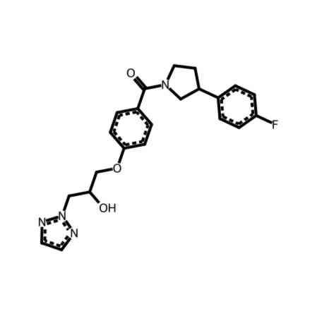 O=C(c1ccc(OCC(O)Cn2nccn2)cc1)N1CCC(c2ccc(F)cc2)C1